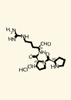 Cl.Cl.N=C(N)NCCC[C@@H](C=O)NC(=O)[C@@H]1CCCN1C(=O)[C@H]1CCCN1